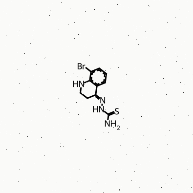 NC(=S)NN=C1CCNc2c(Br)cccc21